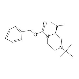 CC(C)[C@H]1CN(C(C)(C)C)CCN1C(=O)OCc1ccccc1